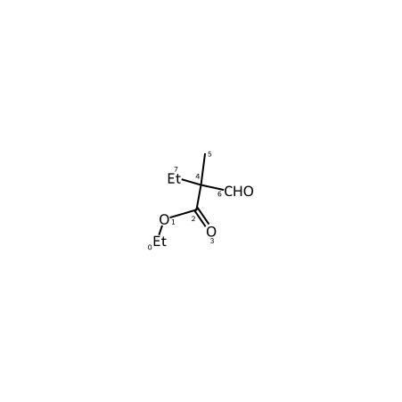 CCOC(=O)C(C)(C=O)CC